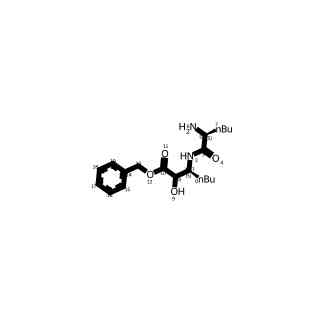 CCCC[C@H](NC(=O)[C@@H](N)CCCC)C(O)C(=O)OCc1ccccc1